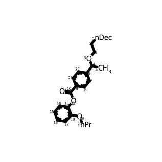 CCCCCCCCCCCCOC(C)c1ccc(C(=O)Oc2ccccc2OCCC)cc1